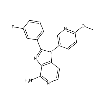 COc1ccc(-n2c(-c3cccc(F)c3)nc3c(N)nccc32)cn1